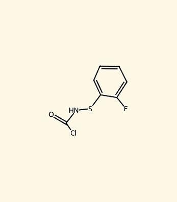 O=C(Cl)NSc1ccccc1F